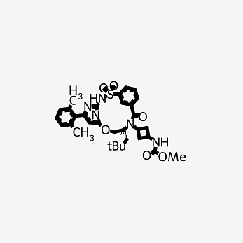 COC(=O)NC1CC(N2C(=O)c3cccc(c3)S(=O)(=O)Nc3nc(cc(-c4c(C)cccc4C)n3)OC[C@H]2CC(C)(C)C)C1